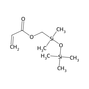 C=CC(=O)OC[Si](C)(C)O[Si](C)(C)C